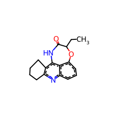 CCC1Oc2cccc3nc4c(c(c23)NC1=O)CCCC4